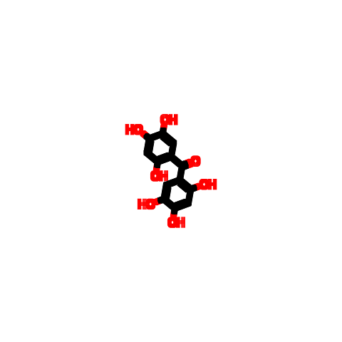 O=C(c1cc(O)c(O)cc1O)c1cc(O)c(O)cc1O